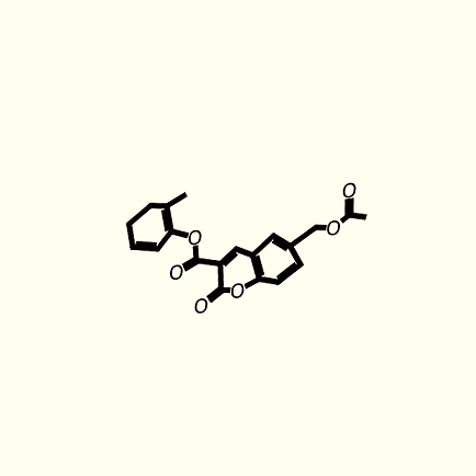 CC(=O)OCc1ccc2oc(=O)c(C(=O)OC3=C(C)CCC=C3)cc2c1